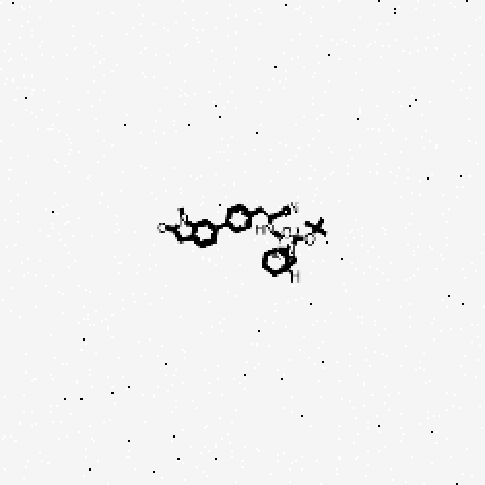 CN1C(=O)Cc2ccc(-c3ccc(C[C@@H](C#N)NC(=O)[C@]45CCC[C@@H](CN4C(=O)OC(C)(C)C)C5)cc3)cc21